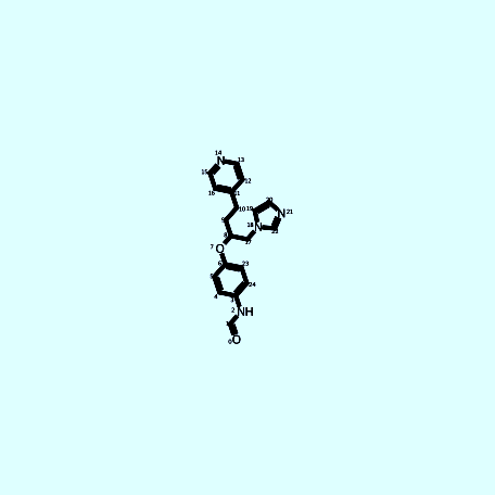 O=CNc1ccc(OC(CCc2ccncc2)Cn2ccnc2)cc1